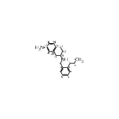 CCCc1ccccc1CNC1CCc2ccc(N)cc2C1